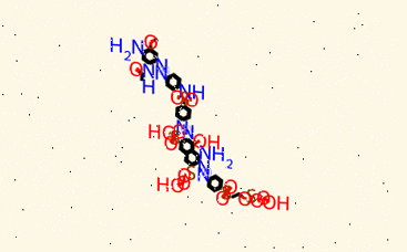 COc1cc(/N=N/c2ccc(NS(=O)(=O)c3ccc(/N=N/c4c(S(=O)(=O)O)cc5cc(SOOO)c(/N=N/c6ccc(S(=O)(=O)CCOSOOO)cc6)c(N)c5c4O)cc3)cc2)c(NC(C)=O)cc1N